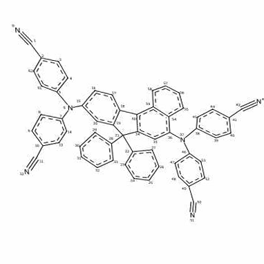 N#Cc1ccc(N(c2ccc(C#N)cc2)c2ccc3c(c2)C(c2ccccc2)(c2ccccc2)c2cc(N(c4ccc(C#N)cc4)c4ccc(C#N)cc4)c4ccccc4c2-3)cc1